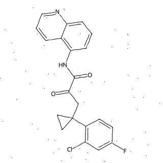 O=C(CC1(c2ccc(F)cc2Cl)CC1)C(=O)Nc1cccc2ncccc12